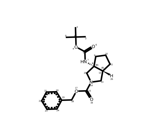 CC(C)(C)OC(=O)N[C@]12CCC[C@@H]1CN(C(=O)OCc1ccccc1)C2